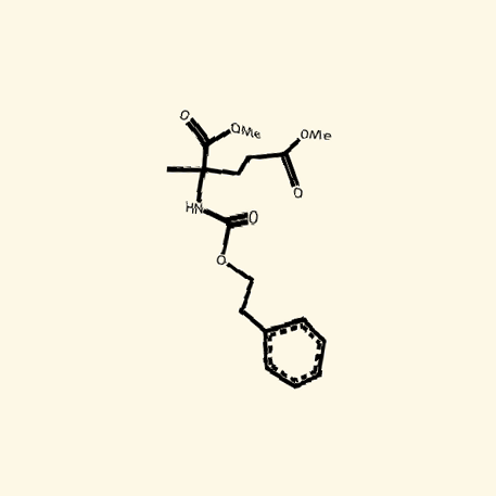 COC(=O)CCC(C)(NC(=O)OCCc1ccccc1)C(=O)OC